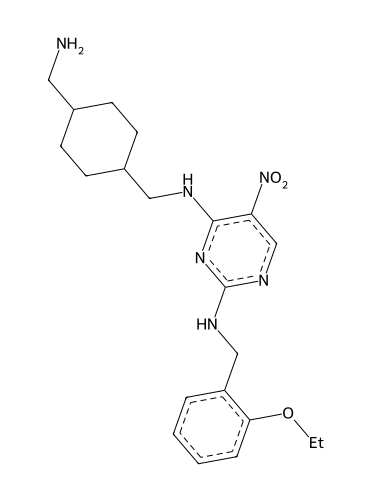 CCOc1ccccc1CNc1ncc([N+](=O)[O-])c(NCC2CCC(CN)CC2)n1